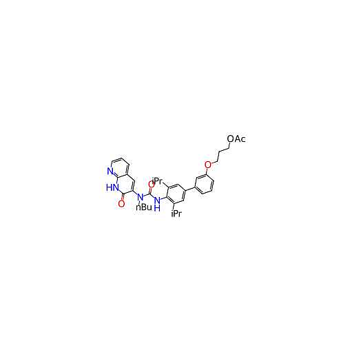 CCCCN(C(=O)Nc1c(C(C)C)cc(-c2cccc(OCCCOC(C)=O)c2)cc1C(C)C)c1cc2cccnc2[nH]c1=O